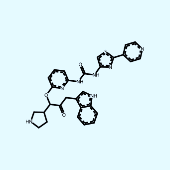 O=C(Nc1cccc(OC(C(=O)Cc2c[nH]c3ccccc23)C2CCNC2)n1)Nc1csc(-c2ccncc2)n1